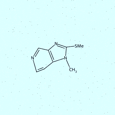 CSc1nc2cnccc2n1C